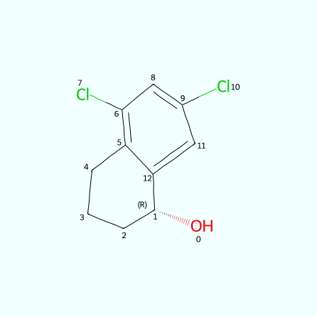 O[C@@H]1CCCc2c(Cl)cc(Cl)cc21